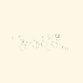 COc1ccc(/C=C\c2cc(OC)c(OC)c(OC)c2)cc1N/C=C\C(=O)c1cn(C)c2ccccc12